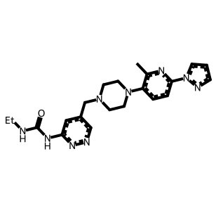 CCNC(=O)Nc1cc(CN2CCN(c3ccc(-n4cccn4)nc3C)CC2)cnn1